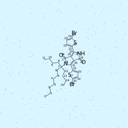 CCCCCCCC(CCCC)(CCCC)N1C(=O)C2=C(c3ccc(Br)s3)NC(=O)C2=C1c1ccc(Br)s1